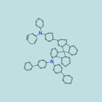 C1#CCC=CC(N(c2ccccc2)c2ccc(-c3ccc4c(c3)C3(c5ccccc5-4)c4ccccc4-c4c(N(c5ccc(-c6ccccc6)cc5)c5ccc(-c6ccccc6)cc5)cccc43)cc2)=C1